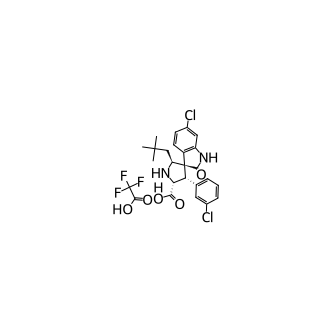 CC(C)(C)C[C@@H]1N[C@@H](C(=O)O)[C@@H](c2cccc(Cl)c2)[C@]12C(=O)Nc1cc(Cl)ccc12.O=C(O)C(F)(F)F